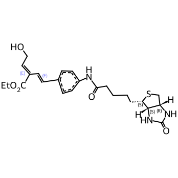 CCOC(=O)C(/C=C/c1ccc(NC(=O)CCCC[C@@H]2SC[C@@H]3NC(=O)N[C@@H]32)cc1)=C/CO